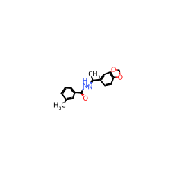 CC(=NNC(=O)c1cccc(C)c1)c1ccc2c(c1)OCO2